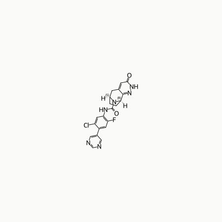 O=C(Nc1cc(Cl)c(-c2cncnc2)cc1F)N1[C@H]2CC[C@@H]1c1n[nH]c(=O)cc1C2